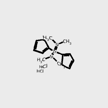 C[Si](C)=[Zr]([C]1=CC=CC1)([C]1=CC=CC1)=[Si](C)C.Cl.Cl